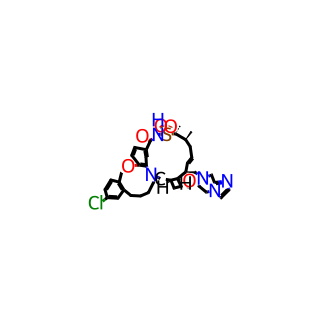 CO[C@@]1(CN2CCn3ccnc3C2)/C=C/C[C@H](C)[C@@H](C)S(=O)(=O)NC(=O)c2ccc3c(c2)N(CCCCc2cc(Cl)ccc2CO3)C[C@@H]2CC[C@H]21